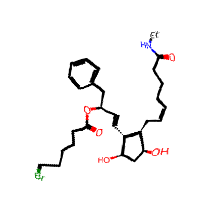 CCNC(=O)CCC/C=C\C[C@@H]1[C@@H](/C=C/[C@H](Cc2ccccc2)OC(=O)CCCCCBr)[C@H](O)C[C@@H]1O